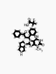 Cn1c(=O)[nH]c(=O)c2c1nc(N1CCC3CNCC31)n2C(CC(=O)c1ccccc1)c1ccccc1C#N.O=C(O)C(F)(F)F